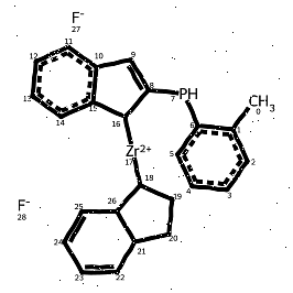 Cc1ccccc1PC1=Cc2ccccc2[CH]1[Zr+2][CH]1CCC2C=CC=CC21.[F-].[F-]